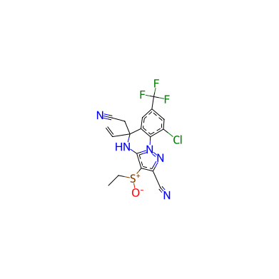 C=CC1(CC#N)Nc2c([S+]([O-])CC)c(C#N)nn2-c2c(Cl)cc(C(F)(F)F)cc21